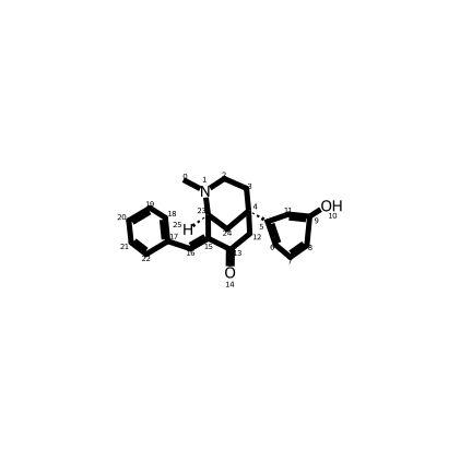 CN1CC[C@@]2(c3cccc(O)c3)CC(=O)/C(=C/c3ccccc3)[C@@H]1C2